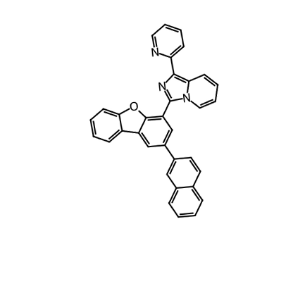 c1ccc(-c2nc(-c3cc(-c4ccc5ccccc5c4)cc4c3oc3ccccc34)n3ccccc23)nc1